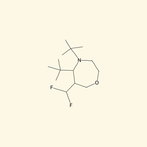 CC(C)(C)C1C(C(F)F)COCCN1C(C)(C)C